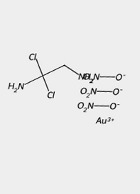 NCC(N)(Cl)Cl.O=[N+]([O-])[O-].O=[N+]([O-])[O-].O=[N+]([O-])[O-].[Au+3]